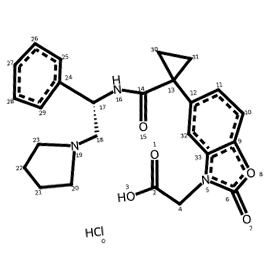 Cl.O=C(O)Cn1c(=O)oc2ccc(C3(C(=O)N[C@H](CN4CCCC4)c4ccccc4)CC3)cc21